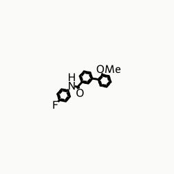 COc1ccccc1-c1cccc(C(=O)Nc2ccc(F)cc2)c1